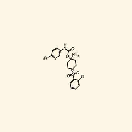 CC(C)c1ccc(NC(=O)OC2(N)CCN(S(=O)(=O)c3ccccc3Cl)CC2)cn1